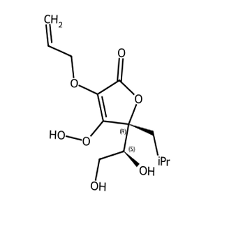 C=CCOC1=C(OO)[C@@](CC(C)C)([C@@H](O)CO)OC1=O